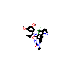 COc1cc(OC)cc([C@@H](NC(=O)c2cc(Cn3ccoc3=N)cc(-c3ncccc3C(F)(F)F)c2)C2CC2)c1